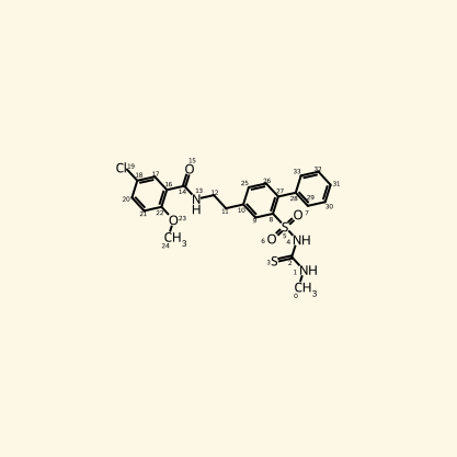 CNC(=S)NS(=O)(=O)c1cc(CCNC(=O)c2cc(Cl)ccc2OC)ccc1-c1ccccc1